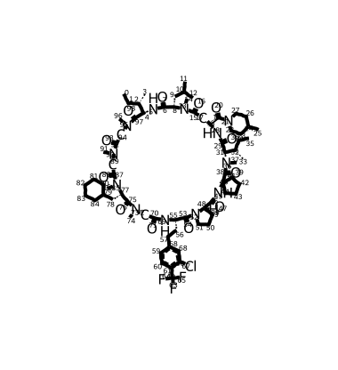 CC[C@H](C)[C@@H]1NC(=O)[C@H](CC(C)C)N(C)C(=O)C[C@@H](C(=O)N2CCC(C)CC2)NC(=O)[C@H]([C@@H](C)CC)N(C)C(=O)C2(CCCC2)NC(=O)[C@@H]2CCCN2C(=O)[C@H](CCc2ccc(C(F)(F)F)c(Cl)c2)NC(=O)CN(C)C(=O)[C@H](CC2CCCCC2)N(C)C(=O)CN(C)C(=O)CN(C)C1=O